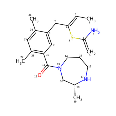 C=C(N)S/C(=C\C)Cc1cc(C(=O)N2CCCN[C@H](C)C2)c(C)cc1C